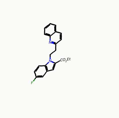 CCOC(=O)c1cc2cc(F)ccc2n1CCc1ccc2ccccc2n1